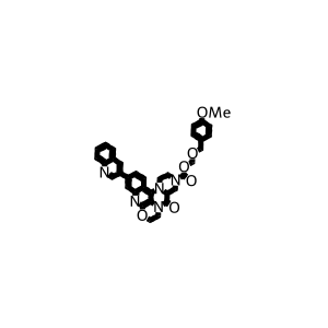 COc1ccc(COCOC(=O)N2CCN3c4c5c(nc6cc(-c7cnc8ccccc8c7)ccc46)OCCN5C(=O)C3C2)cc1